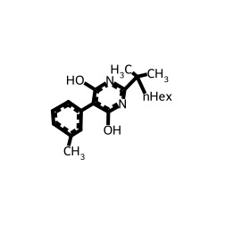 CCCCCCC(C)(C)c1nc(O)c(-c2cccc(C)c2)c(O)n1